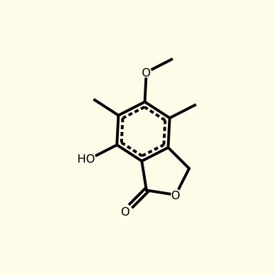 COc1c(C)c(O)c2c(c1C)COC2=O